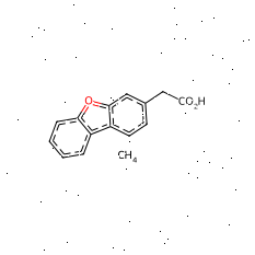 C.O=C(O)Cc1ccc2c(c1)oc1ccccc12